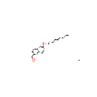 CCCCCCCCCOc1ccc2cc(C(C)=O)ccc2c1